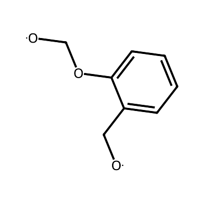 [O]COc1ccccc1C[O]